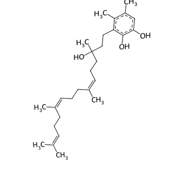 CC(C)=CCCC(C)=CCCC(C)=CCCC(C)(O)CCc1c(C)c(C)cc(O)c1O